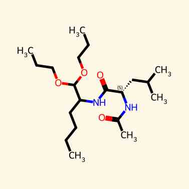 CCCCC(NC(=O)[C@H](CC(C)C)NC(C)=O)C(OCCC)OCCC